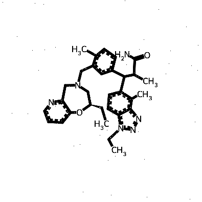 CC[C@@H]1CN(Cc2cc(C(c3ccc4c(nnn4CC)c3C)C(C)C(N)=O)ccc2C)Cc2ncccc2O1